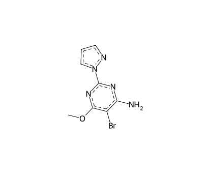 COc1nc(-n2cccn2)nc(N)c1Br